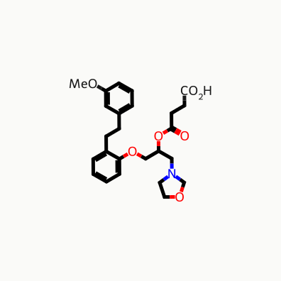 COc1cccc(CCc2ccccc2OCC(CN2CCOC2)OC(=O)CCC(=O)O)c1